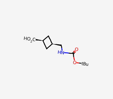 CC(C)(C)OC(=O)NC[C@H]1C[C@@H](C(=O)O)C1